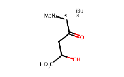 CC[C@H](C)[C@H](NC)C(=O)CC(O)C(=O)O